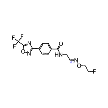 O=C(NC/C=N/OCCF)c1ccc(-c2noc(C(F)(F)F)n2)cc1